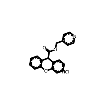 Cl.O=C(OCc1ccncc1)C1c2ccccc2Oc2ccccc21